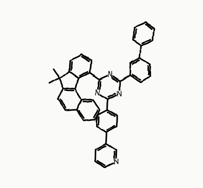 CC1(C)c2cccc(-c3nc(-c4ccc(-c5cccnc5)cc4)nc(-c4cccc(-c5ccccc5)c4)n3)c2-c2c1ccc1ccccc21